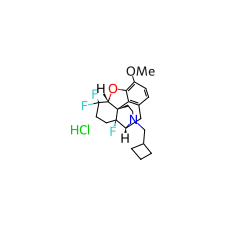 COc1ccc2c3c1O[C@H]1C(F)(F)CC[C@@]4(F)[C@@H](C2)N(CC2CCC2)CC[C@]314.Cl